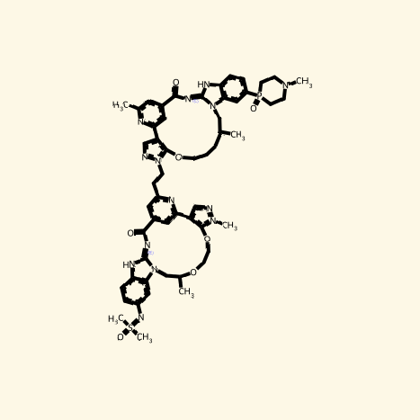 Cc1cc2cc(n1)-c1cnn(CCc3cc4cc(n3)-c3cnn(C)c3OCCOC(C)CN3/C(=N/C4=O)Nc4ccc(N=S(C)(C)=O)cc43)c1OCCCC(C)CN1/C(=N/C2=O)Nc2ccc(P3(=O)CCN(C)CC3)cc21